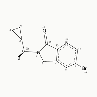 C[C@@H](C1CC1)N1Cc2cc(Br)cnc2C1=O